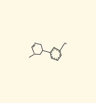 CC(C)c1cccc(C2CN=CN(C)C2)c1